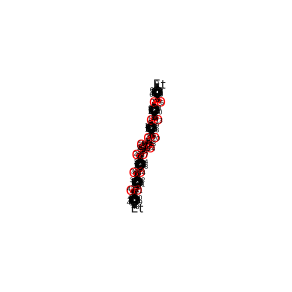 CCc1ccc(C(=O)Oc2ccc(C(=O)Oc3ccc(C(=O)OC4COC5C(OC(=O)c6ccc(OC(=O)c7ccc(OC(=O)c8ccc(CC)cc8)cc7)cc6)COC45)cc3)cc2)cc1